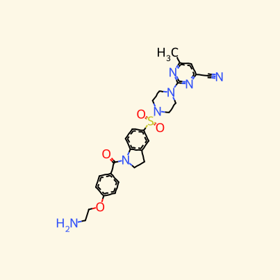 Cc1cc(C#N)nc(N2CCN(S(=O)(=O)c3ccc4c(c3)CCN4C(=O)c3ccc(OCCN)cc3)CC2)n1